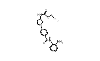 Nc1ccccc1NC(=O)c1ccc(N2CCC(NC(=O)OCC(F)(F)F)C2)cc1